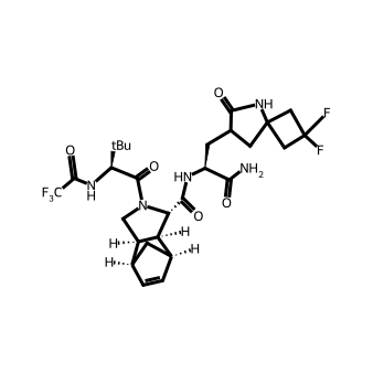 CC(C)(C)[C@H](NC(=O)C(F)(F)F)C(=O)N1C[C@H]2[C@@H]([C@H]1C(=O)N[C@@H](CC1CC3(CC(F)(F)C3)NC1=O)C(N)=O)[C@H]1C=C[C@@H]2C1